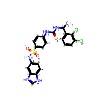 CC(NC(=O)Nc1ccc(S(=O)(=O)Nc2ccc3[nH]cnc3c2)cc1)c1cccc(Cl)c1Cl